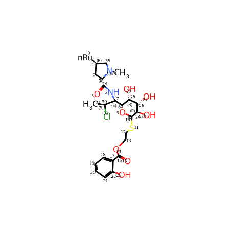 CCCC[C@@H]1C[C@@H](C(=O)N[C@@H]([C@H]2O[C@H](SCCOC(=O)c3ccccc3O)[C@H](O)[C@@H](O)[C@H]2O)[C@H](C)Cl)N(C)C1